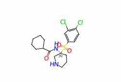 O=C(N[C@]1(S(=O)(=O)c2ccc(Cl)c(Cl)c2)CCCNC1)C1CCCCC1